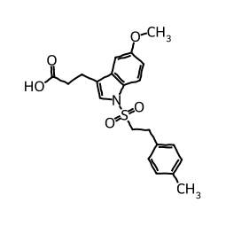 COc1ccc2c(c1)c(CCC(=O)O)cn2S(=O)(=O)CCc1ccc(C)cc1